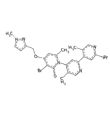 Cc1cnc(C(C)C)cc1-c1cc(-n2c(C)cc(OCc3ccn(C)n3)c(Br)c2=O)c(C)cn1